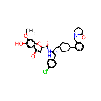 COc1cc2oc(C(=O)N/C(C=C3CCC(c4ccccc4CN4CCCC4=O)CC3)=C\c3ccc(Cl)cc3)cc(=O)c2cc1O